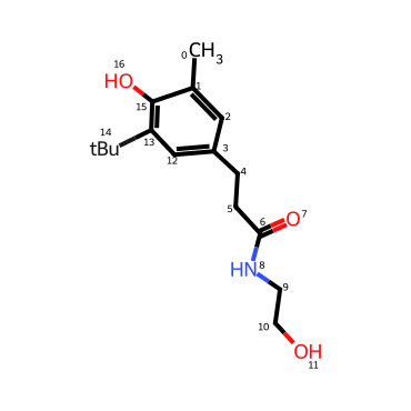 Cc1cc(CCC(=O)NCCO)cc(C(C)(C)C)c1O